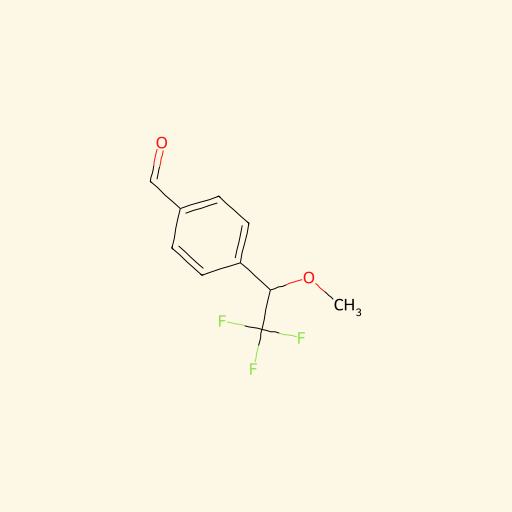 COC(c1ccc(C=O)cc1)C(F)(F)F